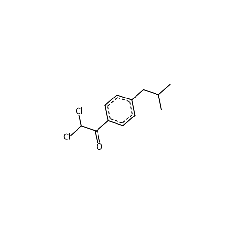 CC(C)Cc1ccc(C(=O)C(Cl)Cl)cc1